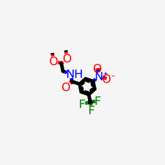 COC(CNC(=O)c1cc([N+](=O)[O-])cc(C(F)(F)F)c1)OC